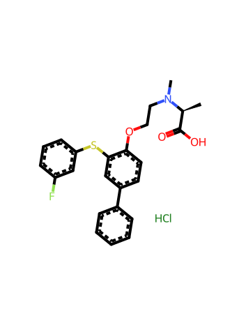 C[C@@H](C(=O)O)N(C)CCOc1ccc(-c2ccccc2)cc1Sc1cccc(F)c1.Cl